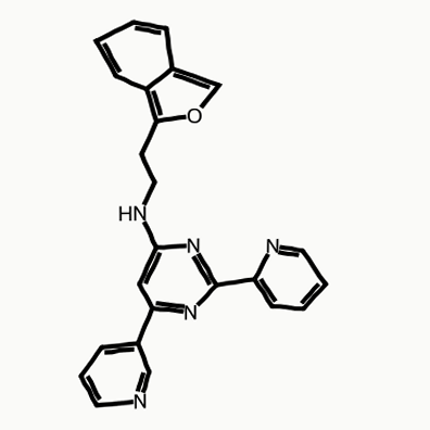 c1ccc(-c2nc(NCCc3occ4ccccc34)cc(-c3cccnc3)n2)nc1